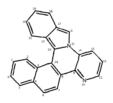 c1ccc2c(c1)ccc1c3ncccc3n3cc4ccccc4c3c21